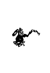 CCCCCCOc1cc(NC(C)=O)c(Cl)cc1C(=O)OC